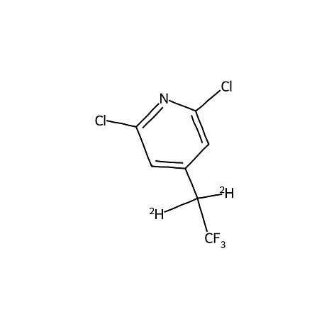 [2H]C([2H])(c1cc(Cl)nc(Cl)c1)C(F)(F)F